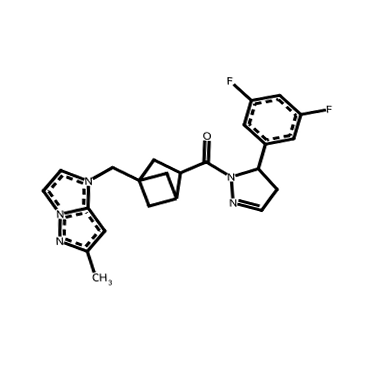 Cc1cc2n(CC34CC(C3)C(C(=O)N3N=CCC3c3cc(F)cc(F)c3)C4)ccn2n1